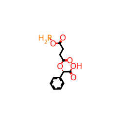 O=C(CCC(=O)O[C@H](C(=O)O)c1ccccc1)OP